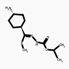 CS/C(=N\NC(=O)OC(C)C)[C@H]1CC[C@H](N)CC1